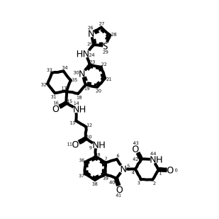 O=C1CCC(N2Cc3c(NC(=O)CCNC(=O)C4(Cc5cccc(Nc6nccs6)n5)CCCCC4)cccc3C2=O)C(=O)N1